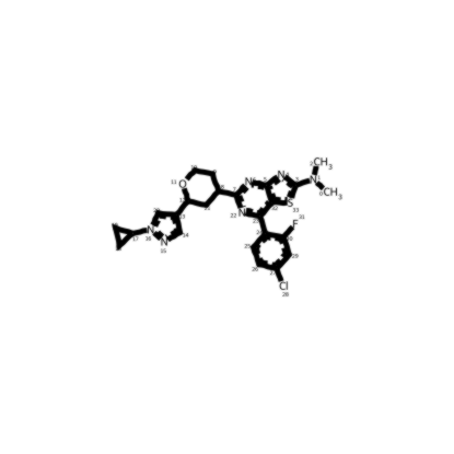 CN(C)c1nc2nc(C3CCOC(c4cnn(C5CC5)c4)C3)nc(-c3ccc(Cl)cc3F)c2s1